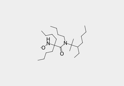 CCCCC(CC)C(C)(C)N(CCCC)C(=O)C(CCCC)(CCCC)N[O]